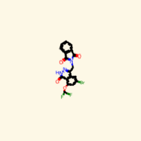 O=C1c2ccccc2C(=O)N1Cc1n[nH]c(=O)c2c(OC(F)F)cc(Br)cc12